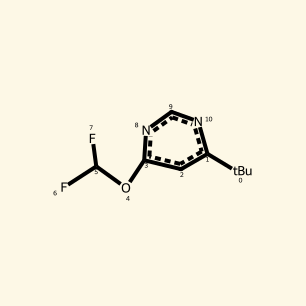 CC(C)(C)c1cc(OC(F)F)ncn1